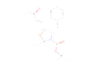 CC(=O)C=C[C@H]1OC(C)(C)N(C(=O)OC(C)(C)C)[C@H]1Cc1ccccc1